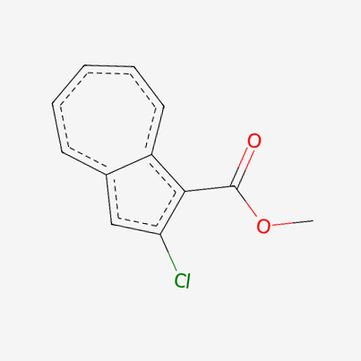 COC(=O)c1c(Cl)cc2cccccc1-2